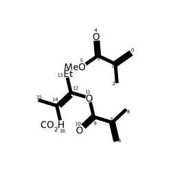 C=C(C)C(=O)OC.C=C(C)C(=O)OC(CC)=C(C)C(=O)O